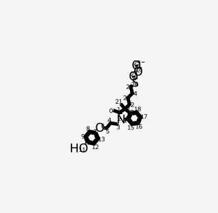 CC1=[N+](CCCOc2ccc(O)cc2)c2ccccc2C1(C)CCCCSOO[O-]